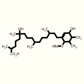 CCCCOC1C(CCC(C)CCCC(C)CCCC(C)(O)CCCC(C)C(=O)O)=CC(O)C(C)C1C